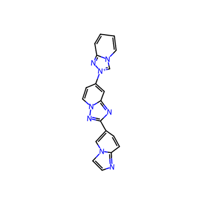 c1ccn2c[n+](-c3ccn4nc(-c5ccc6nccn6c5)nc4c3)nc2c1